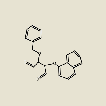 O=CC(OCc1ccccc1)C(C=O)Oc1cccc2ccccc12